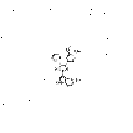 COc1ccc(-c2nc(-c3c[nH]c4ccc(Br)cc34)[nH]c2-c2ccccc2)cc1OC